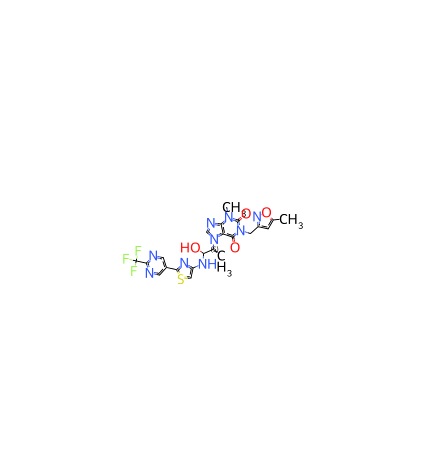 Cc1cc(Cn2c(=O)c3c(ncn3[C@@H](C)C(O)Nc3csc(-c4cnc(C(F)(F)F)nc4)n3)n(C)c2=O)no1